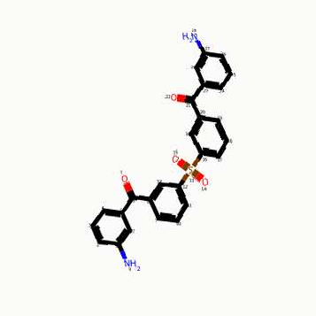 Nc1cccc(C(=O)c2cccc(S(=O)(=O)c3cccc(C(=O)c4cccc(N)c4)c3)c2)c1